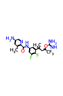 Cc1cc(N)cnc1C(=O)Nc1cc(F)c(F)c([C@@H](C)C[C@@H](OC(=N)N)C(F)(F)F)c1